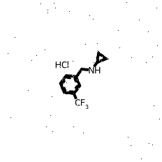 Cl.FC(F)(F)c1cccc(CNC2CC2)c1